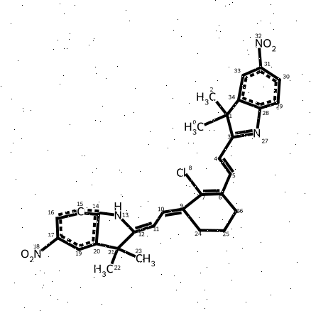 CC1(C)C(/C=C/C2=C(Cl)C(=C/C=C3\Nc4ccc([N+](=O)[O-])cc4C3(C)C)/CCC2)=Nc2ccc([N+](=O)[O-])cc21